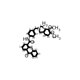 CCN(Cc1ccc(NC(=O)c2cccc3c(=O)c4ccccc4sc23)cc1)Cc1ccc(OC)c(OC)c1